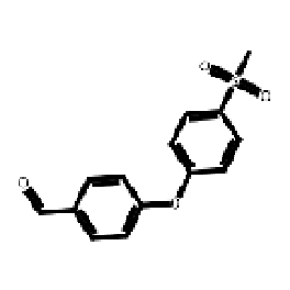 CS(=O)(=O)c1ccc(Oc2ccc(C=O)cc2)cc1